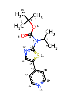 CC(C)N(C(=O)OC(C)(C)C)c1ncc(-c2ccncc2)s1